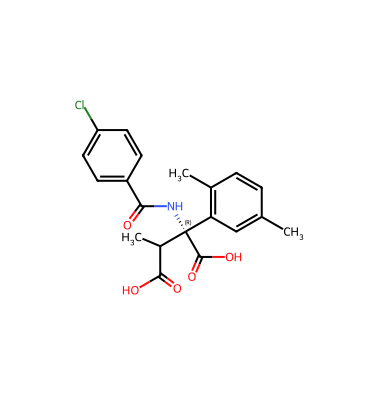 Cc1ccc(C)c([C@@](NC(=O)c2ccc(Cl)cc2)(C(=O)O)C(C)C(=O)O)c1